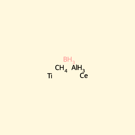 B.C.[AlH3].[Ce].[Ti]